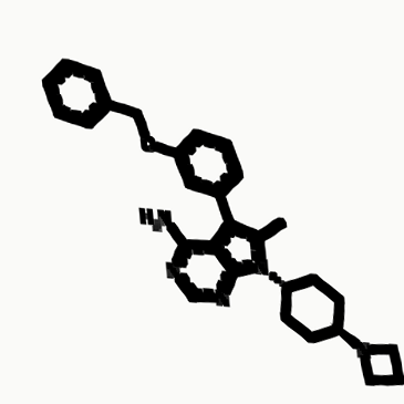 Cc1c(-c2cccc(OCc3ccccc3)c2)c2c(N)ncnc2n1[C@H]1CC[C@H](N2CCC2)CC1